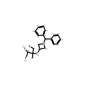 CC(CF)(OC1CN(C(c2ccccc2)c2ccccc2)C1)C(F)F